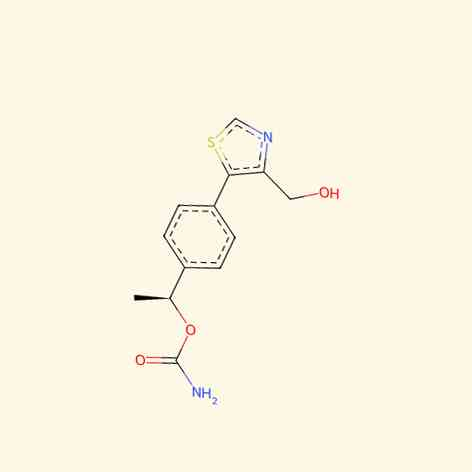 C[C@H](OC(N)=O)c1ccc(-c2scnc2CO)cc1